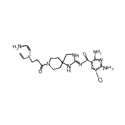 C=CN(/C=C\N)CCC(=O)N1CCC2(CC1)CN/C(=N\C(=O)c1nc(Cl)c(N)nc1N)N2